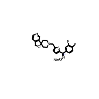 CO/N=C(/c1ccc(F)c(F)c1)c1ccc(CN2CCC3(CC2)OCc2ccncc23)s1